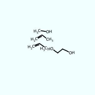 C=CC.C=CC.CO.OCCO